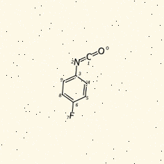 O=C=Nc1[c]cc(F)cc1